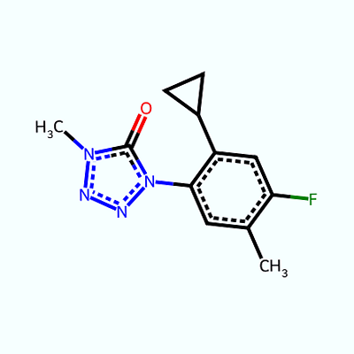 Cc1cc(-n2nnn(C)c2=O)c(C2CC2)cc1F